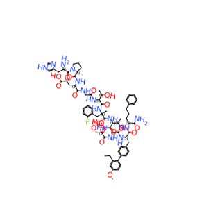 CCc1cc(OC)ccc1-c1ccc(C[C@H](NC(=O)[C@H](CC(=O)O)NC(=O)[C@H](CO)NC(=O)[C@@H](NC(=O)[C@](C)(Cc2ccccc2F)NC(=O)[C@@H](NC(=O)CNC(=O)[C@H](CCC(=O)O)NC(=O)[C@]2(C)CCCN2C(=O)[C@@H](N)Cc2c[nH]cn2)[C@@H](C)O)[C@@H](C)O)C(=O)N[C@@H](CCCc2ccccc2)C(N)=O)cc1